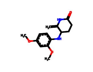 C=C1NC(=O)CCC1Nc1ccc(OC)cc1OC